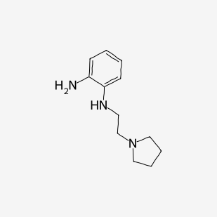 Nc1ccccc1NCCN1CCCC1